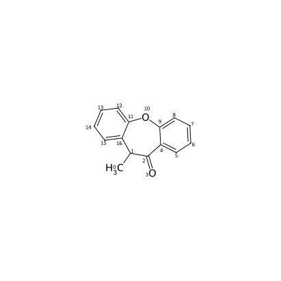 CC1C(=O)c2ccccc2Oc2ccccc21